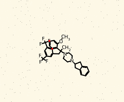 [CH2]C(Cc1cc(C(F)(F)F)cc(C(F)(F)F)c1)(c1ccccc1OC)N1CCN(C2Cc3ccccc3C2)CC1